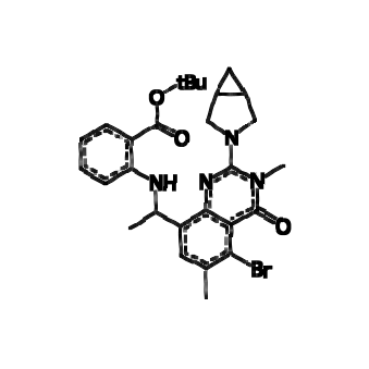 Cc1cc(C(C)Nc2ccccc2C(=O)OC(C)(C)C)c2nc(N3CC4CC4C3)n(C)c(=O)c2c1Br